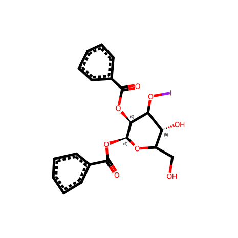 O=C(O[C@@H]1OC(CO)[C@@H](O)C(OI)[C@@H]1OC(=O)c1ccccc1)c1ccccc1